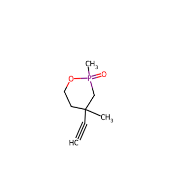 C#CC1(C)CCOP(C)(=O)C1